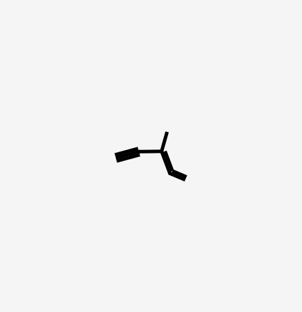 C#CC(C)=C=C